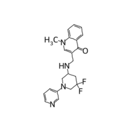 Cn1cc(CNC2CN(c3cccnc3)CC(F)(F)C2)c(=O)c2ccccc21